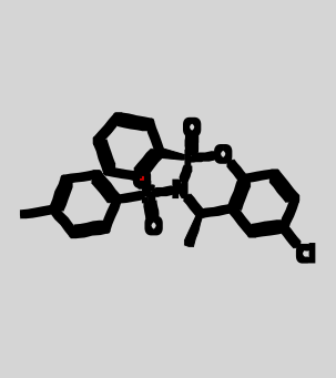 Cc1ccc(S(=O)(=O)N2[C@H](C)c3cc(Cl)ccc3O[P@]2(=O)c2ccccc2)cc1